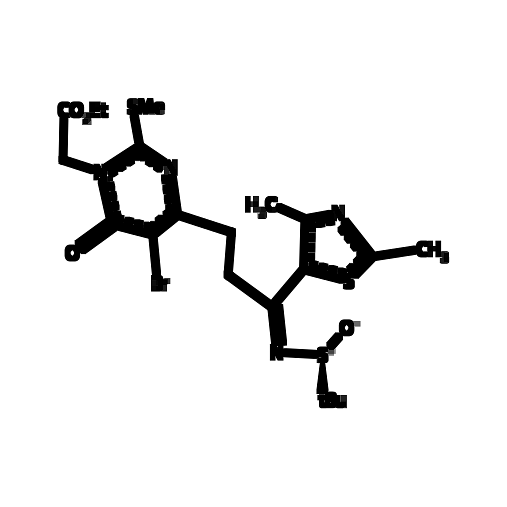 CCOC(=O)Cn1c(SC)nc(CC/C(=N/[S@@+]([O-])C(C)(C)C)c2sc(C)nc2C)c(Br)c1=O